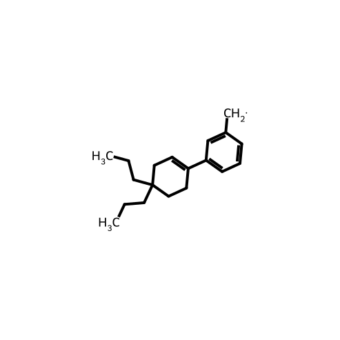 [CH2]c1cccc(C2=CCC(CCC)(CCC)CC2)c1